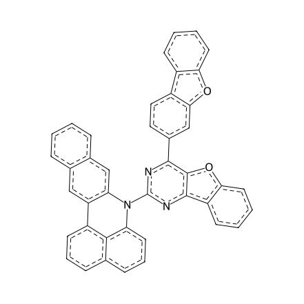 c1ccc2cc3c(cc2c1)-c1cccc2cccc(c12)N3c1nc(-c2ccc3c(c2)oc2ccccc23)c2oc3ccccc3c2n1